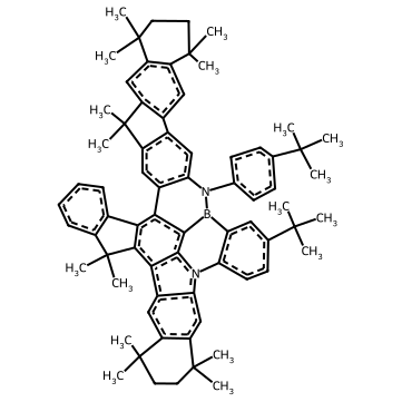 CC(C)(C)c1ccc(N2B3c4cc(C(C)(C)C)ccc4-n4c5cc6c(cc5c5c7c(c(c3c54)-c3cc4c(cc32)-c2cc3c(cc2C4(C)C)C(C)(C)CCC3(C)C)-c2ccccc2C7(C)C)C(C)(C)CCC6(C)C)cc1